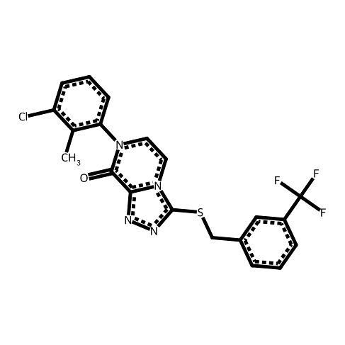 Cc1c(Cl)cccc1-n1ccn2c(SCc3cccc(C(F)(F)F)c3)nnc2c1=O